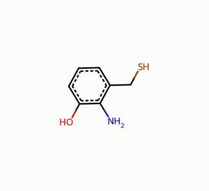 Nc1c(O)cccc1CS